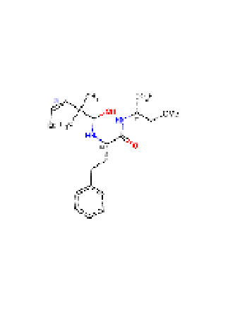 CC/C=C\C(C)(C)C(O)N[C@@H](CCc1ccccc1)C(=O)N[C@@H](COC)C(=O)O